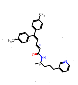 C[C@H](CCCc1cccnc1)NC(=O)/C=C/C=C(c1ccc(C(F)(F)F)cc1)c1ccc(C(F)(F)F)cc1